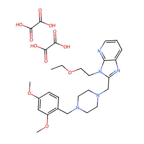 CCOCCn1c(CN2CCN(Cc3ccc(OC)cc3OC)CC2)nc2cccnc21.O=C(O)C(=O)O.O=C(O)C(=O)O